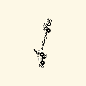 CCCCS(=O)(=O)c1cc2c(Nc3ccc4scnc4c3)ccnc2cc1OCCOCCOCCOCCCc1cccc2c1n(C)c(=O)n2C1CCC(=O)NC1=O